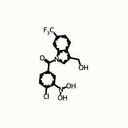 O=C(c1ccc(Cl)c(N(O)O)c1)n1cc(CO)c2ccc(C(F)(F)F)cc21